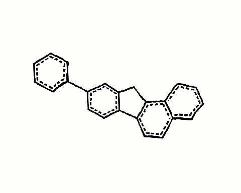 c1ccc(-c2ccc3c(c2)Cc2c-3ccc3ccccc23)cc1